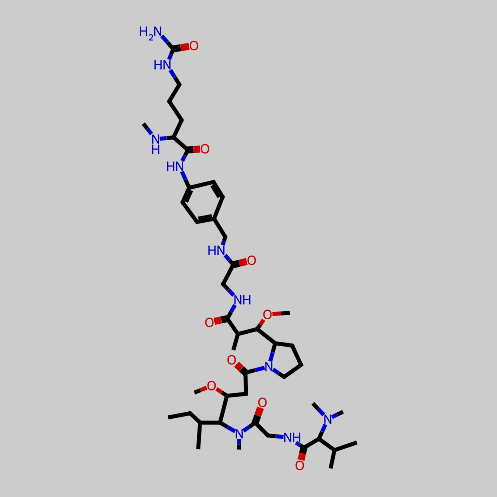 CCC(C)C(C(CC(=O)N1CCCC1C(OC)C(C)C(=O)NCC(=O)NCc1ccc(NC(=O)C(CCCNC(N)=O)NC)cc1)OC)N(C)C(=O)CNC(=O)C(C(C)C)N(C)C